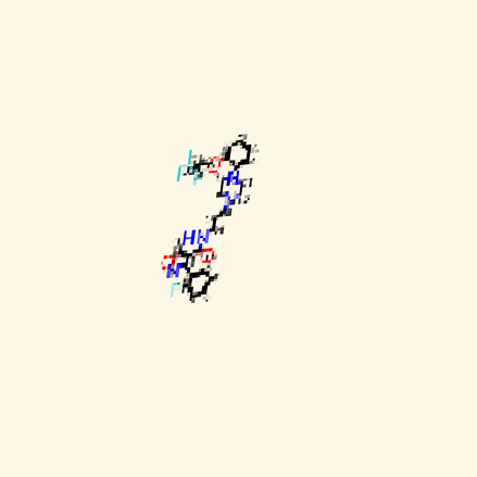 Cc1onc(-c2ccccc2F)c1C(=O)NCCCN1CCN(c2ccccc2OCC(F)(F)F)CC1